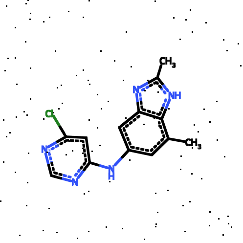 Cc1nc2cc(Nc3cc(Cl)ncn3)cc(C)c2[nH]1